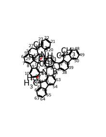 CC1(C)c2ccccc2-c2cccc(N3c4cc(N5c6ccccc6C6(C)CCCCC56C)cc5c4B(c4ccc6c(c4-5)C(C)(C)c4ccccc4-6)c4ccc5c(c43)C(C)(C)c3ccccc3-5)c21